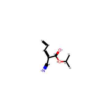 C=CC=C(C#N)C(=O)OC(C)C